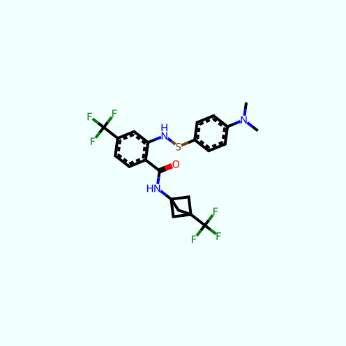 CN(C)c1ccc(SNc2cc(C(F)(F)F)ccc2C(=O)NC23CC(C(F)(F)F)(C2)C3)cc1